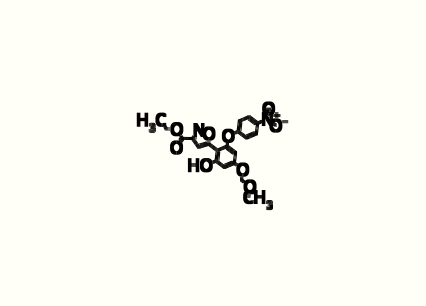 CCOC(=O)c1cc(-c2c(O)cc(OCOC)cc2Oc2ccc([N+](=O)[O-])cc2)on1